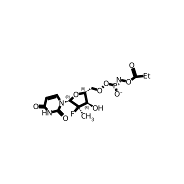 CCC(=O)ON=[P+]([O-])OOC[C@H]1O[C@@H](n2ccc(=O)[nH]c2=O)[C@](C)(F)[C@@H]1O